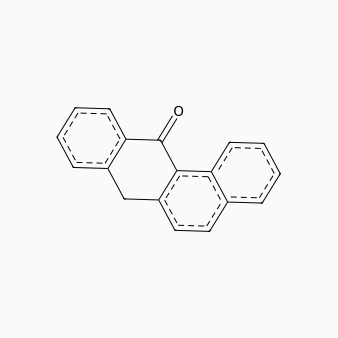 O=C1c2ccccc2Cc2ccc3ccccc3c21